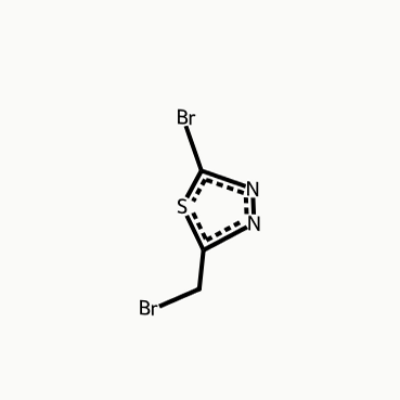 BrCc1nnc(Br)s1